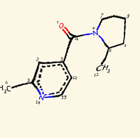 Cc1cc(C(=O)N2CCCC2C)ccn1